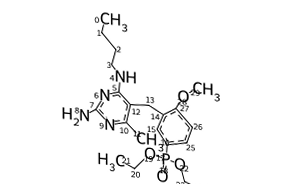 CCCCNc1nc(N)nc(C)c1Cc1cc(P(=O)(OCC)OCC)ccc1OC